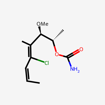 C/C=C\C(Cl)=C(/C)[C@@H](OC)[C@H](C)OC(N)=O